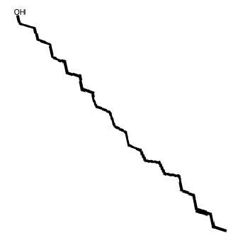 CCC=CCCCCCCCCCCCCCCCCCCCCCCO